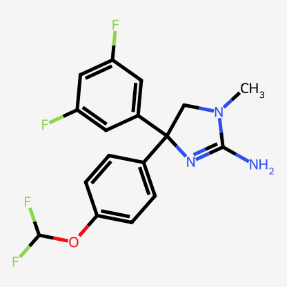 CN1CC(c2ccc(OC(F)F)cc2)(c2cc(F)cc(F)c2)N=C1N